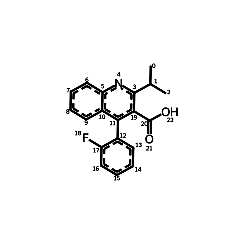 CC(C)c1nc2ccccc2c(-c2ccccc2F)c1C(=O)O